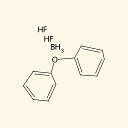 B.F.F.c1ccc(Oc2ccccc2)cc1